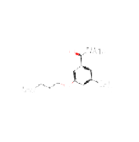 CNC(=O)c1cc(C)cc(OCCCC(C)(C)C)c1